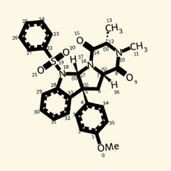 COc1ccc([C@]23C[C@H]4C(=O)N(C)[C@@H](C)C(=O)N4[C@H]2N(S(=O)(=O)c2ccccc2)c2ccccc23)cc1